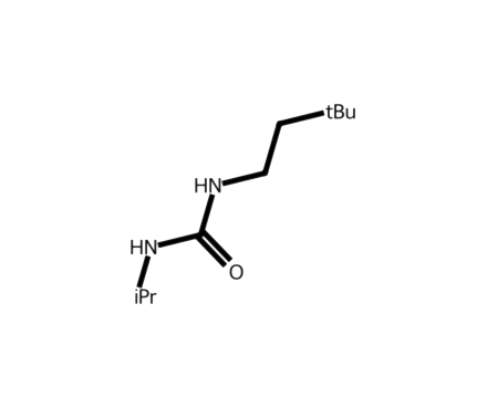 CC(C)NC(=O)NCCC(C)(C)C